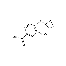 COC(=O)c1ccc(OC2CCC2)c(OC)c1